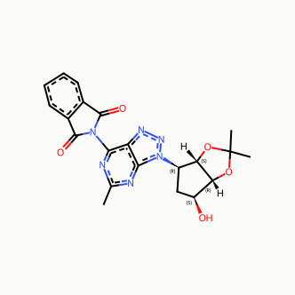 Cc1nc(N2C(=O)c3ccccc3C2=O)c2nnn([C@@H]3C[C@H](O)[C@H]4OC(C)(C)O[C@H]43)c2n1